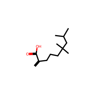 C=C(CCCC(C)(C)CC(C)C)C(=O)O